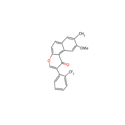 COc1cc2c(ccc3occ(-c4ccccc4C(F)(F)F)c(=O)c32)cc1C